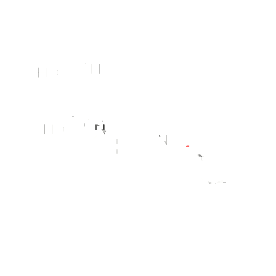 CC1(C)CCC(C)(C)c2c(-n3c4ccccc4c4ccc(N(c5ccc(-c6ccccc6)cc5)c5ccccc5-c5ccc6ccccc6c5)cc43)cccc21